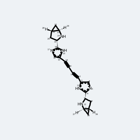 C(C#Cc1cnc([C@@H]2C[C@@H]3C[C@H]3N2)[nH]1)#Cc1cnc([C@@H]2C[C@@H]3C[C@H]3N2)[nH]1